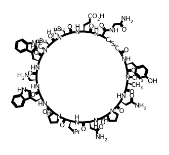 CCCC[C@H]1C(=O)N(C)[C@@H](CCCC)C(=O)N[C@@H](CCC(=O)O)C(=O)NC(C(=O)NCC(N)=O)CSCC(=O)N[C@@H](Cc2ccc(O)cc2)C(=O)N(C)[C@@H](C)C(=O)N[C@@H](CC(N)=O)C(=O)N2CCC[C@H]2C(=O)N[C@@H](CC(N)=O)C(=O)N[C@@H](CC(C)C)C(=O)N2CCC[C@H]2C(=O)N[C@@H](Cc2c[nH]c3ccccc23)C(=O)N[C@@H](CN)C(=O)N[C@@H](Cc2c[nH]c3ccccc23)C(=O)N1C